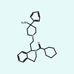 CC(=O)NC1(c2ccccc2)CCN(CCC2c3ccccc3CCN2C(=O)C2CCCCC2)CC1